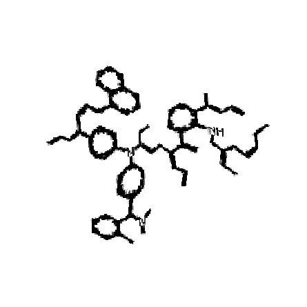 C=C/C=C(/C/C=C(\CC)N(c1ccc(C(/C=C\Cc2cccc3ccccc23)=C/C=C)cc1)c1ccc(C(c2ccccc2C)N(C)C)cc1)C(=C)c1cccc(/C(C)=C/C=C)c1NC/C(=C/C)C/C=C\CC